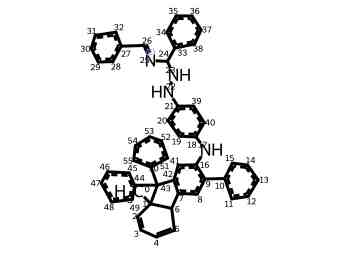 CC12C=CC=CC1c1cc(-c3ccccc3)c(Nc3ccc(NNC(/N=C/c4ccccc4)c4ccccc4)cc3)cc1C2(c1ccccc1)c1ccccc1